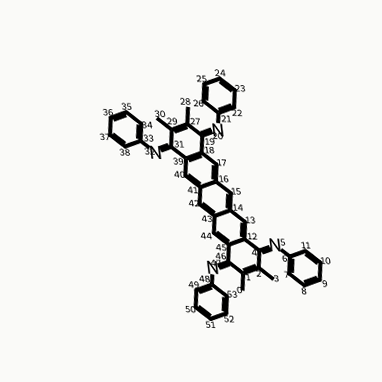 Cc1c(C)/c(=N\c2ccccc2)c2cc3cc4cc5/c(=N/c6ccccc6)c(C)c(C)/c(=N\c6ccccc6)c5cc4cc3cc2/c1=N/c1ccccc1